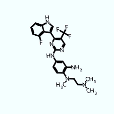 CN(C)CCN(C)c1ccc(Nc2ncc(C(F)(F)F)c(-c3c[nH]c4cccc(F)c34)n2)cc1N